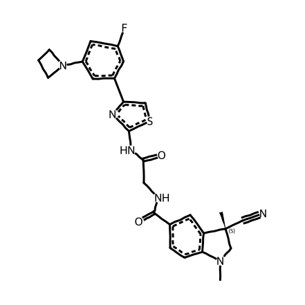 CN1C[C@@](C)(C#N)c2cc(C(=O)NCC(=O)Nc3nc(-c4cc(F)cc(N5CCC5)c4)cs3)ccc21